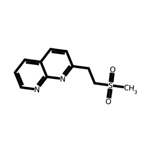 CS(=O)(=O)CCc1ccc2cccnc2n1